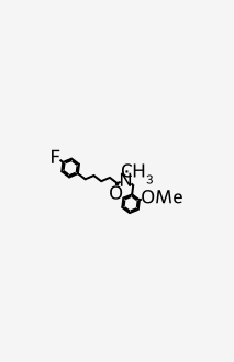 COc1ccccc1CN(C)C(=O)CCCCc1ccc(F)cc1